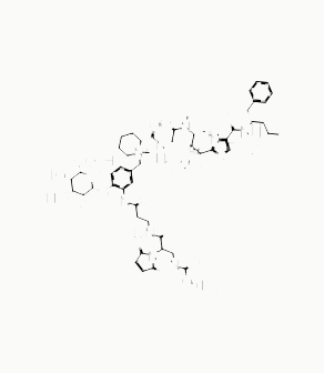 CC[C@H](C)[C@H](NC(=O)[C@H]1CCCC[N+]1(C)Cc1ccc(O[C@@H]2O[C@H](C(=O)O)[C@@H](O)[C@H](O)[C@H]2O)c(NC(=O)CCNC(=O)C(CNC(=O)OC(C)(C)C)N2C(=O)C=CC2=O)c1)C(=O)N(C)[C@H](C[C@@H](OC)c1nc(C(=O)N[C@@H](Cc2ccccc2)C[C@H](C)C(=O)O)cs1)C(C)C